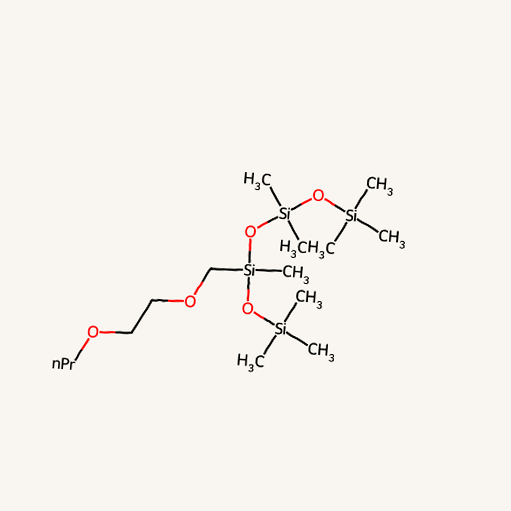 CCCOCCOC[Si](C)(O[Si](C)(C)C)O[Si](C)(C)O[Si](C)(C)C